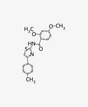 COc1ccc(C(=O)Nc2nc(-c3ccc(C)cc3)cs2)c(OC)c1